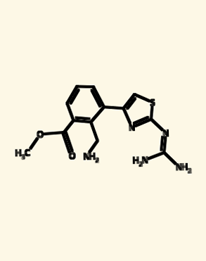 COC(=O)c1cccc(-c2csc(N=C(N)N)n2)c1CN